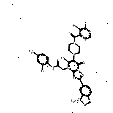 CCc1c(N2CCN(C(=O)c3ncnc(C)c3O)CC2)c(=O)n2nc(-c3ccc4c(c3)[C@@H](C(F)(F)F)OC4)nc2n1CC(=O)Nc1ccc(C(F)(F)F)cc1Cl